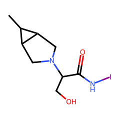 CC1C2CN(C(CO)C(=O)NI)CC12